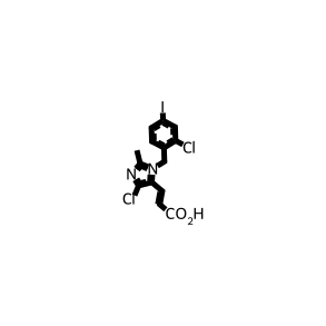 Cc1nc(Cl)c(/C=C/C(=O)O)n1Cc1ccc(I)cc1Cl